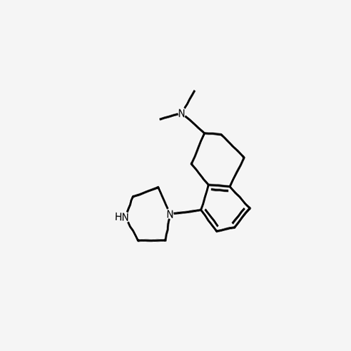 CN(C)C1CCc2cccc(N3CCNCC3)c2C1